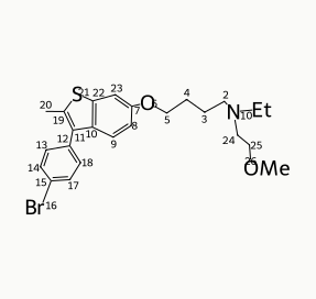 CCN(CCCCOc1ccc2c(-c3ccc(Br)cc3)c(C)sc2c1)CCOC